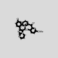 COc1ccc(Cl)c(C(=O)N2CCC3CCC2CN3Cc2c(-c3ccc(Cl)cc3)nc3ncccn23)n1